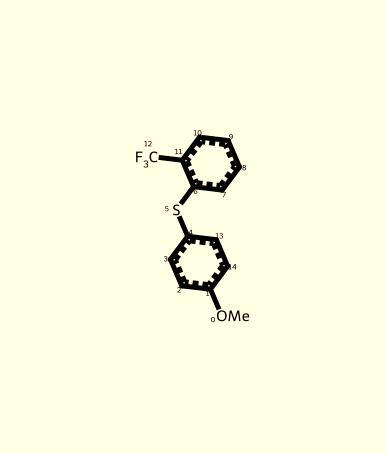 COc1ccc(Sc2ccccc2C(F)(F)F)cc1